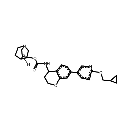 O=C(NC1CCOc2cc(-c3ccc(OCC4CC4)nc3)ccc21)O[C@@H]1CN2CCC1CC2